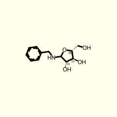 OC[C@H]1OC(NCc2ccccc2)[C@@H](O)[C@@H]1O